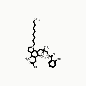 CCCCCCCCCN1CCc2c(C)c(CC(=O)O)c(C)c(CC(C)(C)CNC(=O)c3ccccc3O)c21